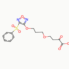 O=C(O)C(=O)CCOCCCOc1nonc1S(=O)(=O)c1ccccc1